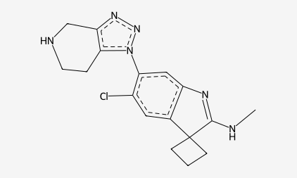 CNC1=Nc2cc(-n3nnc4c3CCNC4)c(Cl)cc2C12CCC2